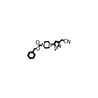 Cn1nc(CC#N)cc1N1CCN(C(=O)OCc2ccccc2)CC1